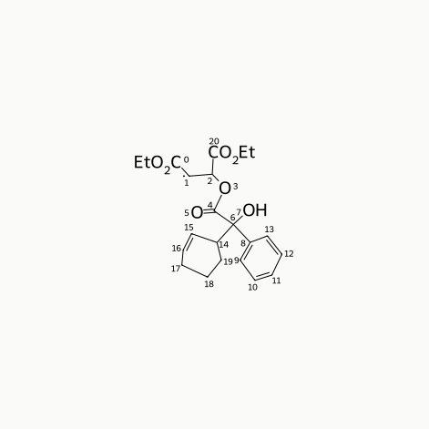 CCOC(=O)[CH]C(OC(=O)C(O)(c1ccccc1)C1C=CCCC1)C(=O)OCC